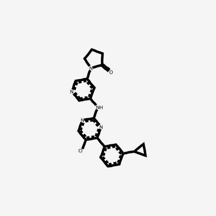 O=C1CCCN1c1cncc(Nc2ncc(Cl)c(-c3cccc(C4CC4)c3)n2)c1